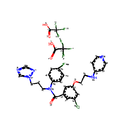 O=C(O)C(F)(F)F.O=C(O)C(F)(F)F.O=C(c1cc(Cl)cc(OCCNc2ccncc2)c1)N(CCCn1cncn1)c1ccc(F)cc1